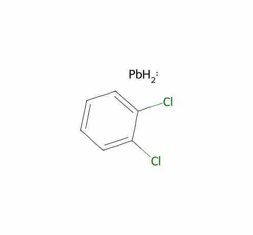 Clc1ccccc1Cl.[PbH2]